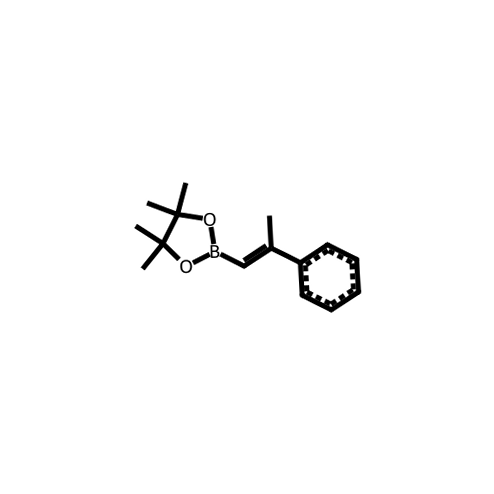 CC(=CB1OC(C)(C)C(C)(C)O1)c1ccccc1